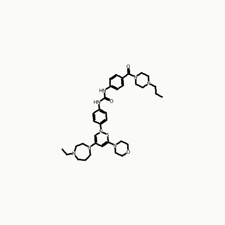 CCCN1CCN(C(=O)c2ccc(NC(=O)Nc3ccc(N4C=C(N5CCCN(CC)CC5)C=C(N5CCOCC5)S4)cc3)cc2)CC1